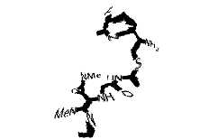 C=C(NC(=O)CN/C(=C(\N=C/C)NC)C1OC1NC)S/C=C(\N)c1ccc(F)c(C)n1